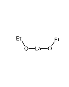 CC[O][La][O]CC